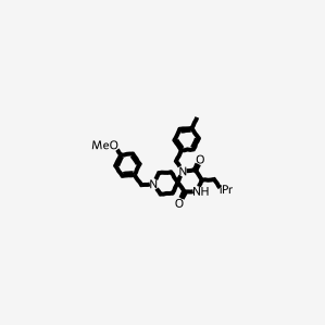 COc1ccc(CN2CCC3(CC2)C(=O)NC(CC(C)C)C(=O)N3Cc2ccc(C)cc2)cc1